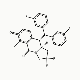 Cc1c2n(ncc1=O)[C@@H](C(c1cccc(F)c1)c1cccc(F)c1)[C@H]1CC(F)(F)CN1C2=O